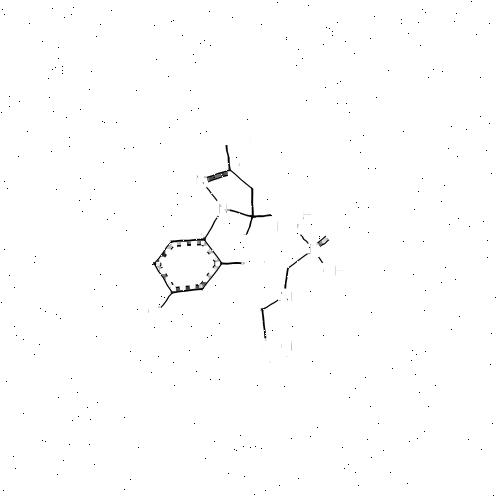 CC1(C(=O)O)CC(C(=O)O)=NN1c1ccc(Cl)cc1Cl.O=C(O)CNCP(=O)(O)O